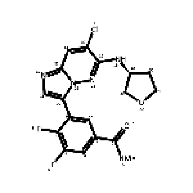 CNC(=O)c1cc(F)c(F)c(-c2cnc3cc(Cl)c(N[C@H]4CCOC4)nn23)c1